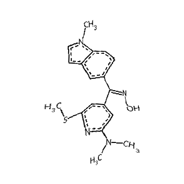 CSc1cc(C(=NO)c2ccc3c(ccn3C)c2)cc(N(C)C)n1